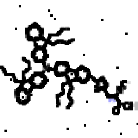 [C-]#[N+]/C(=C\c1ccc(-c2ccc3c(c2)C(CCCC)(CCCC)c2cc(N(c4ccc5c(c4)C(CCCC)(CCCC)c4ccccc4-5)c4ccc5c(c4)C(CCCC)(CCCC)c4ccccc4-5)ccc2-3)s1)C(=O)O